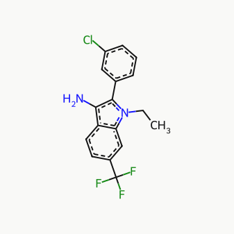 CCn1c(-c2cccc(Cl)c2)c(N)c2ccc(C(F)(F)F)cc21